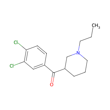 CCCN1CCCC(C(=O)c2ccc(Cl)c(Cl)c2)C1